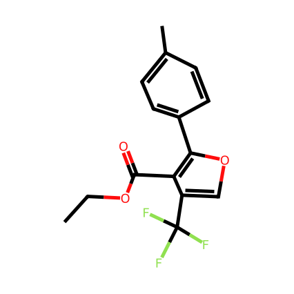 CCOC(=O)c1c(C(F)(F)F)coc1-c1ccc(C)cc1